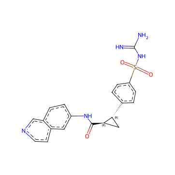 N=C(N)NS(=O)(=O)c1ccc([C@@H]2C[C@H]2C(=O)Nc2ccc3cnccc3c2)cc1